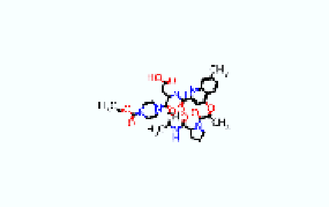 CCOC(=O)N1CCN(C(=O)C(CC(=O)O)NC(=O)c2cc(O[C@@H](C)C(=O)N3CCCC3C(=O)NC(C)C)c3ccc(C)cc3n2)CC1